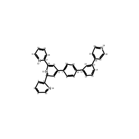 c1ccc(-c2cc(-c3ccc(-c4cccc(-c5ccncc5)c4)cc3)cc(-c3ccccn3)n2)nc1